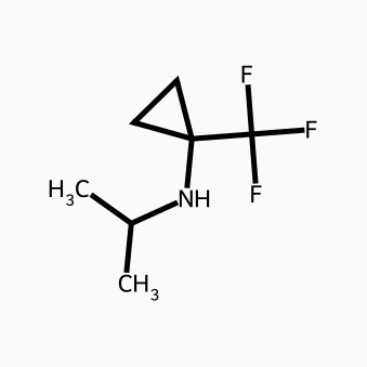 CC(C)NC1(C(F)(F)F)CC1